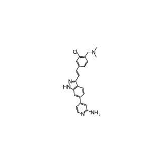 CN(C)Cc1ccc(C=Cc2n[nH]c3cc(-c4ccnc(N)c4)ccc23)cc1Cl